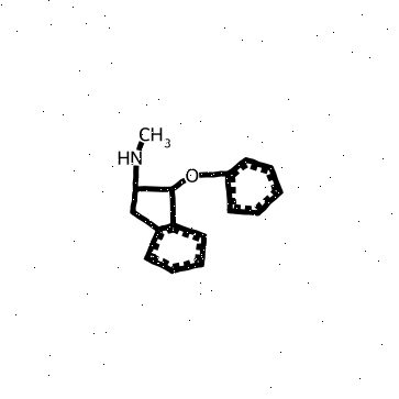 CNC1Cc2ccccc2C1Oc1ccccc1